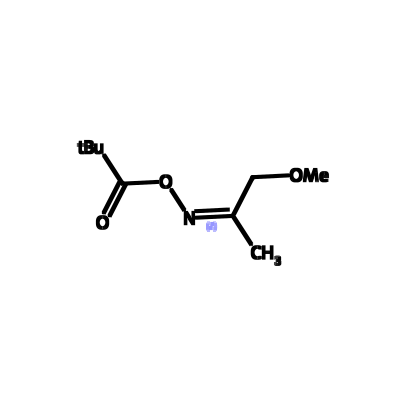 COC/C(C)=N\OC(=O)C(C)(C)C